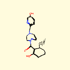 O=C(O)C1CCCC(O)C1C(=O)N1CCN(c2ccc(O)cn2)CC1